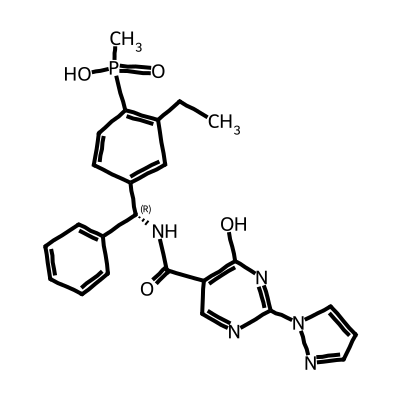 CCc1cc([C@H](NC(=O)c2cnc(-n3cccn3)nc2O)c2ccccc2)ccc1P(C)(=O)O